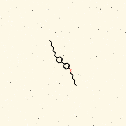 CCCCCCCC1CC=C(c2ccc(OCCCCCC)cc2)CC1